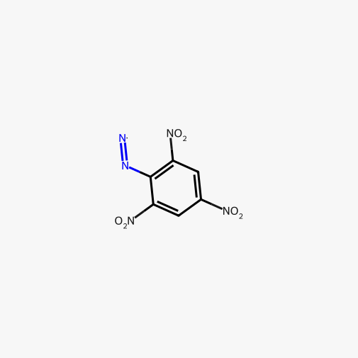 [N]=Nc1c([N+](=O)[O-])cc([N+](=O)[O-])cc1[N+](=O)[O-]